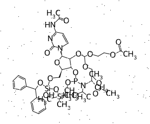 COP(OC1C(OC(OCCOC(C)=O)OCCOC(C)=O)[C@H](n2ccc(NC(C)=O)nc2=O)O[C@@H]1CO[Si](O)(OC(c1ccccc1)c1ccccc1)O[Si](C)(C)C)N(C(C)C)C(C)C